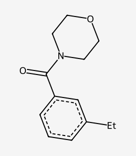 CCc1cccc(C(=O)N2CCOCC2)c1